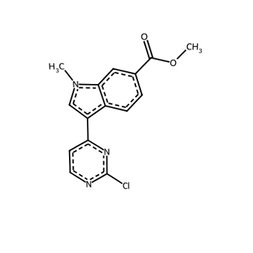 COC(=O)c1ccc2c(-c3ccnc(Cl)n3)cn(C)c2c1